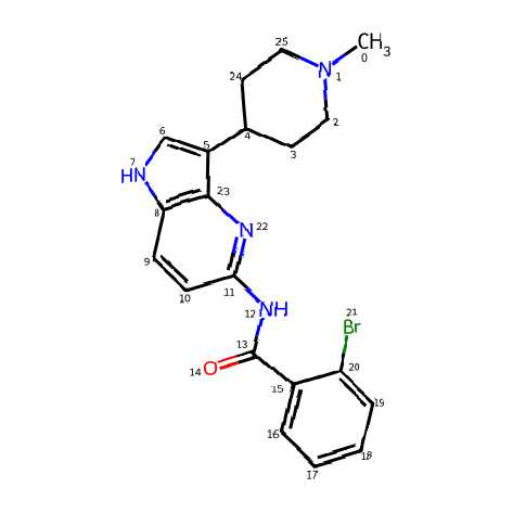 CN1CCC(c2c[nH]c3ccc(NC(=O)c4ccccc4Br)nc23)CC1